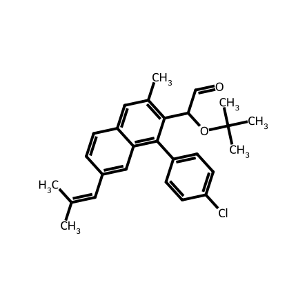 CC(C)=Cc1ccc2cc(C)c(C(C=O)OC(C)(C)C)c(-c3ccc(Cl)cc3)c2c1